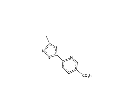 Cc1nnc(-c2ccc(C(=O)O)cn2)s1